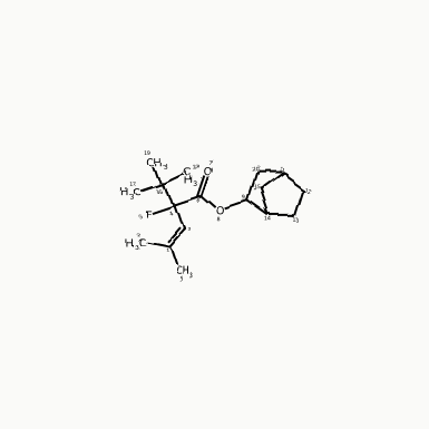 CC(C)=CC(F)(C(=O)OC1CC2CCC1C2)C(C)(C)C